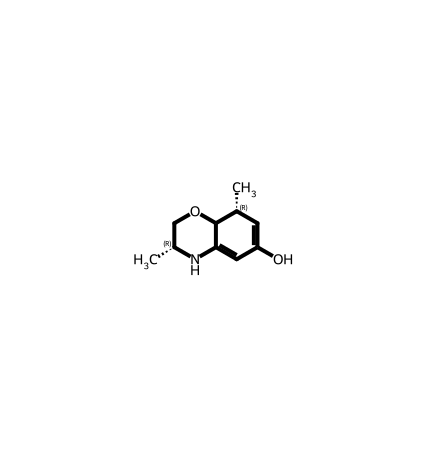 C[C@@H]1COC2C(=CC(O)=C[C@H]2C)N1